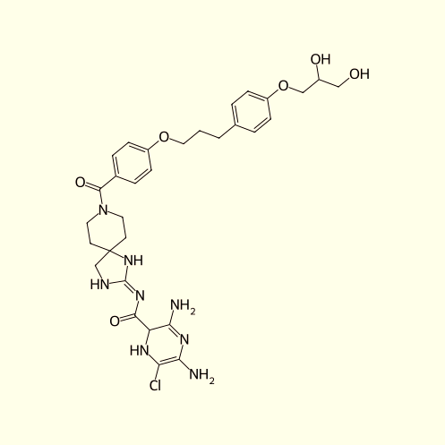 NC1=NC(N)=C(Cl)NC1C(=O)/N=C1\NCC2(CCN(C(=O)c3ccc(OCCCc4ccc(OCC(O)CO)cc4)cc3)CC2)N1